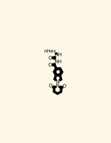 CCCCCCNC(=O)NC(=O)c1ccc2c(c1)CN(N1C(=O)CCCC1=O)C2